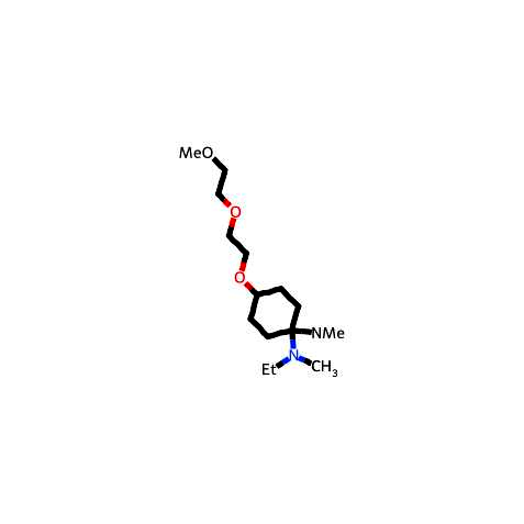 CCN(C)C1(NC)CCC(OCCOCCOC)CC1